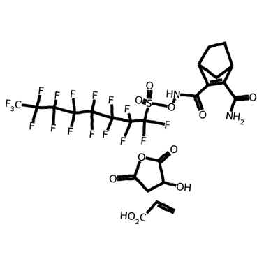 C=CC(=O)O.NC(=O)C1=C(C(=O)NOS(=O)(=O)C(F)(F)C(F)(F)C(F)(F)C(F)(F)C(F)(F)C(F)(F)C(F)(F)C(F)(F)F)C2CCC1C2.O=C1CC(O)C(=O)O1